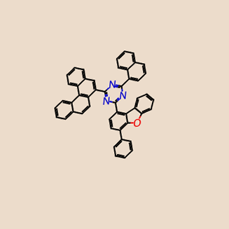 c1ccc(-c2ccc(-c3nc(-c4cccc5ccccc45)nc(-c4cc5ccccc5c5c4ccc4ccccc45)n3)c3c2oc2ccccc23)cc1